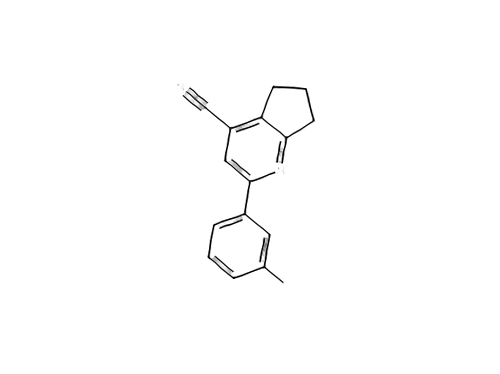 N#Cc1cc(-c2cccc(Cl)c2)nc2c1CCC2